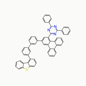 c1ccc(-c2nc(-c3ccccc3)nc(-c3cc(-c4cccc(-c5cccc(-c6cccc7sc8ccccc8c67)c5)c4)cc4c5ccccc5c5ccccc5c34)n2)cc1